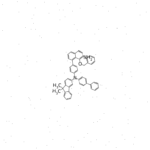 CC1(C)c2ccccc2-c2cc(N(c3ccc(-c4ccccc4)cc3)c3ccc(-c4cccc5ccc(N)c(OCc6ccccc6)c45)cc3)ccc21